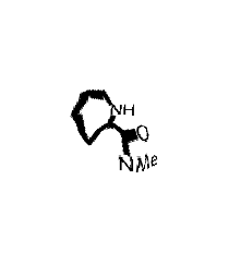 CNC(=O)[C]1C=CC=CN1